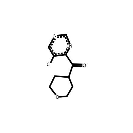 O=C(c1ncncc1Cl)C1CCOCC1